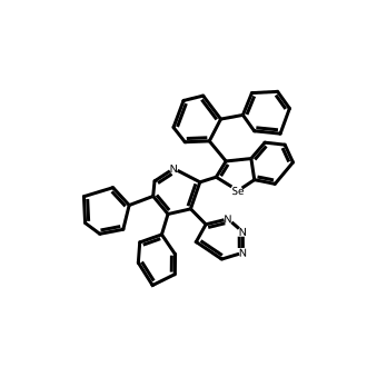 c1ccc(-c2ccccc2-c2c(-c3ncc(-c4ccccc4)c(-c4ccccc4)c3-c3ccnnn3)[se]c3ccccc23)cc1